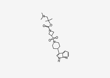 CN(C)CC(C)(C)OC(=O)N1CC(S(=O)(=O)N2CCC(c3c[nH]c4ncccc34)CC2)C1